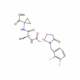 COC(=O)C1(NC(=O)[C@@H](NC(=O)C[C@@H]2CCC(=O)N2Cc2cccc(F)c2F)C(C)C)CC1